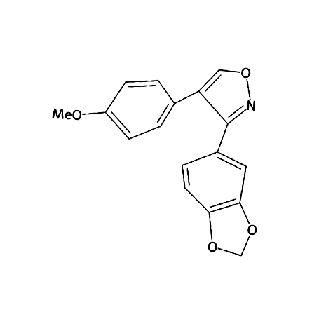 COc1ccc(-c2conc2-c2ccc3c(c2)OCO3)cc1